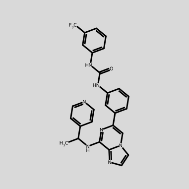 CC(Nc1nc(-c2cccc(NC(=O)Nc3cccc(C(F)(F)F)c3)c2)cn2ccnc12)c1ccncc1